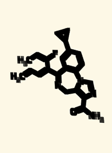 C=C/C=C(C1=NCc2c(C(N)=O)ncn2-c2ccc(C3CC3)cc21)\C(F)=C/C